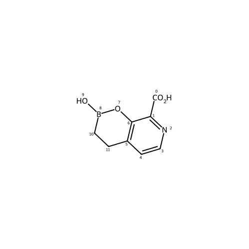 O=C(O)c1nccc2c1OB(O)CC2